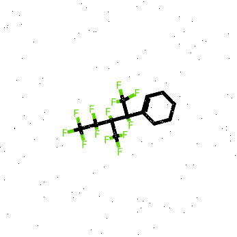 FC(F)(F)C(F)(F)C(F)(C(F)(F)F)C(F)(C1=CCCCC1)C(F)(F)F